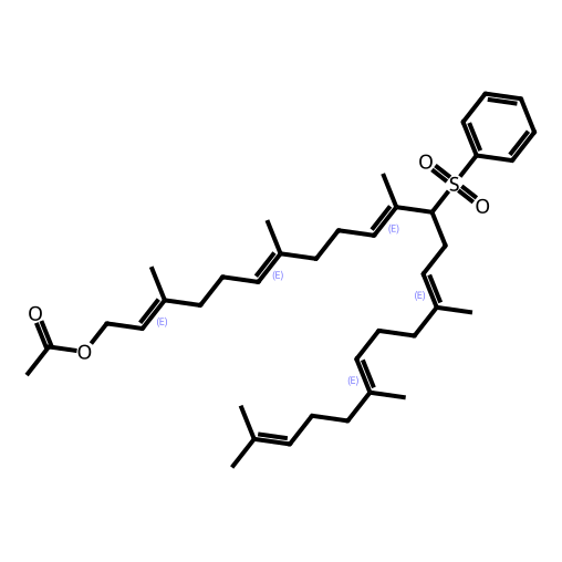 CC(=O)OC/C=C(\C)CC/C=C(\C)CC/C=C(\C)C(C/C=C(\C)CC/C=C(\C)CCC=C(C)C)S(=O)(=O)c1ccccc1